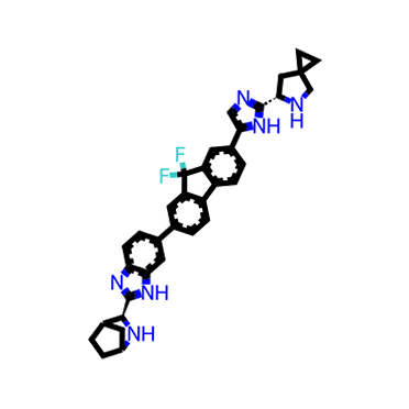 FC1(F)c2cc(-c3ccc4nc([C@H]5NC6CCC5C6)[nH]c4c3)ccc2-c2ccc(-c3cnc([C@@H]4CC5(CC5)CN4)[nH]3)cc21